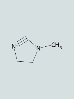 CN1C#[N+]CC1